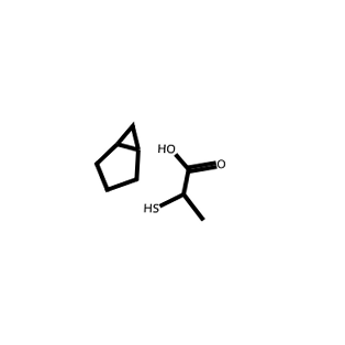 C1CC2CC2C1.CC(S)C(=O)O